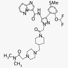 CSc1ccc(OC(F)F)c(-c2nn(CC(=O)N3CCC(CN4CCN(CC(=O)N(C)C)CC4)CC3)cc2NC(=O)c2cnc3cccnn23)c1